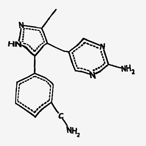 Cc1n[nH]c(-c2cccc(CN)c2)c1-c1cnc(N)nc1